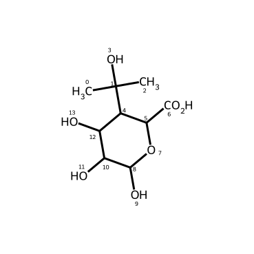 CC(C)(O)C1C(C(=O)O)OC(O)C(O)C1O